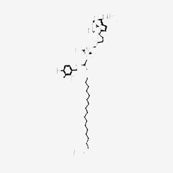 CCCCCCCCCCCCCCCCCCOC[C@H](COP(=O)(O)OC[C@@H]1CC[C@](C#N)(c2ccc3c(N)ncnn23)O1)OCc1ccc(F)c(Cl)c1F